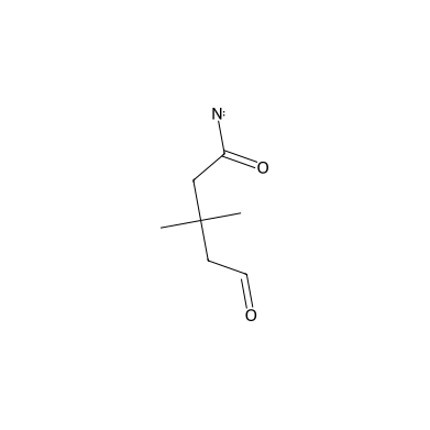 CC(C)(CC=O)CC([N])=O